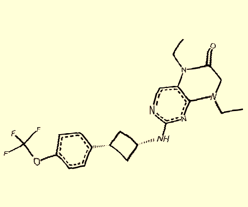 CCN1CC(=O)N(CC)c2cnc(N[C@H]3C[C@@H](c4ccc(OC(F)(F)F)cc4)C3)nc21